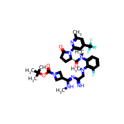 CN/C(=N\C(=N)CN(C)c1c(F)cccc1N(C)C(=O)[C@@H]1CCC(=O)N1c1cc(C(F)(F)F)cc(C)n1)C1CN(C(=O)OC(C)(C)C)C1